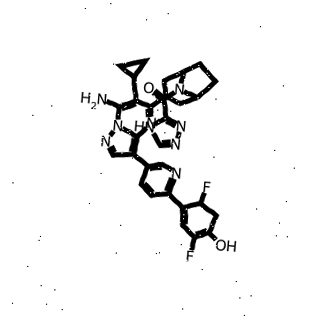 Nc1c(C2CC2)c(C2CC3CCC(C2)N3C(=O)c2nnc[nH]2)nc2c(-c3ccc(C4=CC(F)=C(O)CC4F)nc3)cnn12